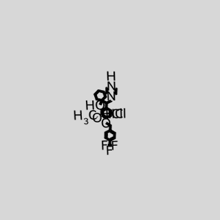 COc1cc(C(CN2CCNCC2)C2(O)CCCCC2)ccc1OCc1ccc(C(F)(F)F)cc1.Cl.Cl